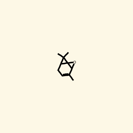 CC1=C[CH]C2C(C)(C)C23OC13